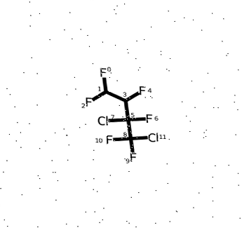 FC(F)C(F)C(F)(Cl)C(F)(F)Cl